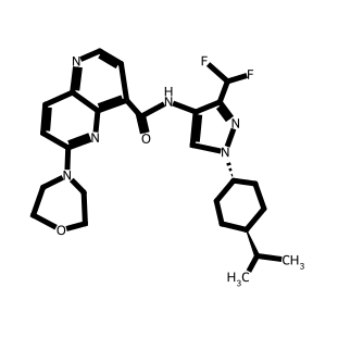 CC(C)[C@H]1CC[C@H](n2cc(NC(=O)c3ccnc4ccc(N5CCOCC5)nc34)c(C(F)F)n2)CC1